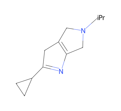 CC(C)N1CC2=C(C1)N=C(C1CC1)C2